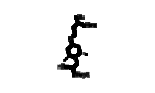 CCCCCCCC(CCCC)CN1[C@H](C)CC(OCCC(CCCC)CCCCCC)C[C@@H]1C